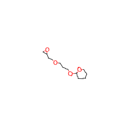 C1CCC(OCCCOCCC2CO2)OC1